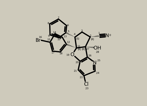 N#C[C@H]1C[C@@H](c2ccccc2)[C@]2(c3ccc(Br)cc3)Oc3cc(Cl)cnc3[C@]12O